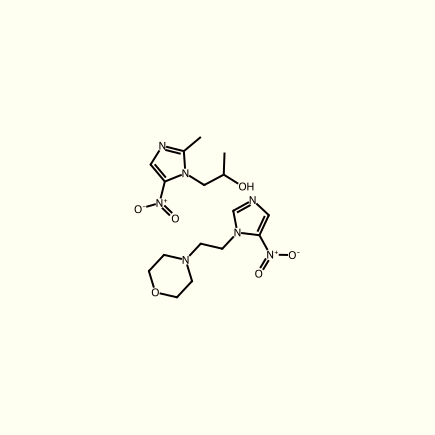 Cc1ncc([N+](=O)[O-])n1CC(C)O.O=[N+]([O-])c1cncn1CCN1CCOCC1